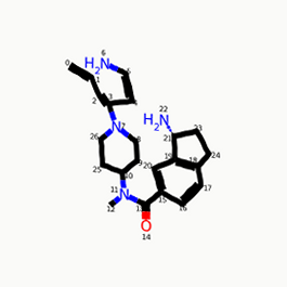 C=C/C=C(\C=C/N)N1CCC(N(C)C(=O)c2ccc3c(c2)[C@H](N)CC3)CC1